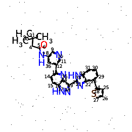 CC(C)(C)CC(=O)Nc1cncc(-c2ccc3[nH]nc(-c4nc5c(-c6cccs6)cccc5[nH]4)c3n2)c1